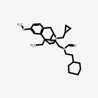 CCC12CCN(CC3CC3)C(Cc3ccc(OC)cc31)C2(O)CCN(C=O)CCC1CCCCC1